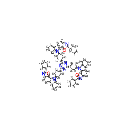 c1ccc(-c2nc3ccc4c5ccccc5n(-c5ccc(-c6nc(-c7ccc(-n8c9ccccc9c9ccc%10nc(-c%11ccccc%11)oc%10c98)cc7)nc(-c7ccc(-n8c9ccccc9c9ccc%10nc(-c%11ccccc%11)oc%10c98)cc7)n6)cc5)c4c3o2)cc1